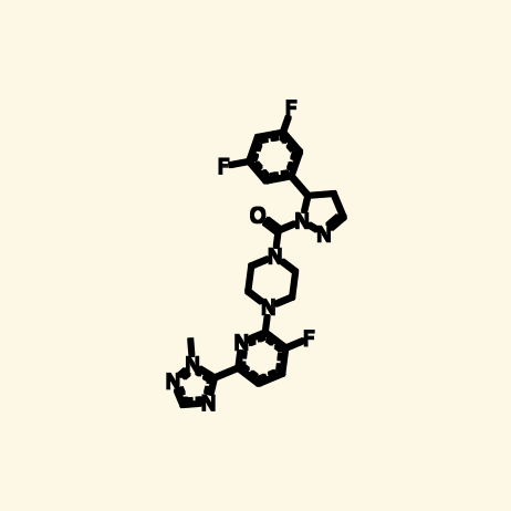 Cn1ncnc1-c1ccc(F)c(N2CCN(C(=O)N3N=CCC3c3cc(F)cc(F)c3)CC2)n1